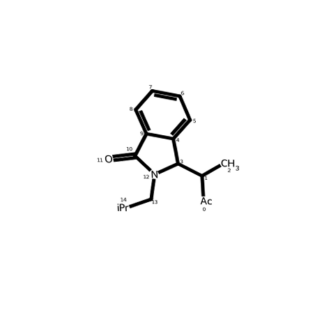 CC(=O)C(C)C1c2ccccc2C(=O)N1CC(C)C